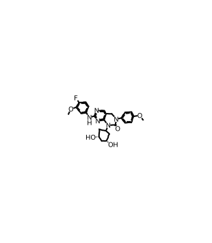 COc1ccc(N2Cc3cnc(Nc4ccc(F)c(OC)c4)nc3N(C3C[C@@H](O)C[C@@H](O)C3)C2=O)cc1